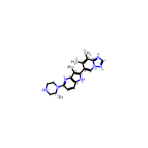 CC[C@@H]1CNCCN1c1ccc2[nH]c(-c3cn4ncnc4c(C)c3C)c(C(C)C)c2n1